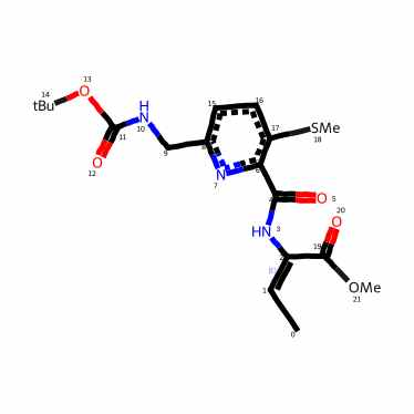 C/C=C(/NC(=O)c1nc(CNC(=O)OC(C)(C)C)ccc1SC)C(=O)OC